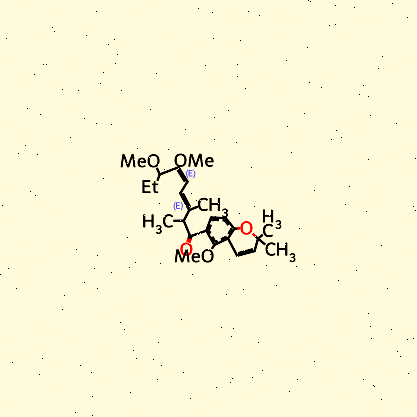 CCC(OC)/C(=C\C=C(/C)C(C)C(=O)c1ccc2c(c1OC)C=CC(C)(C)O2)OC